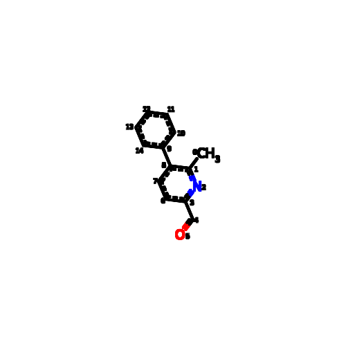 Cc1nc(C=O)ccc1-c1ccccc1